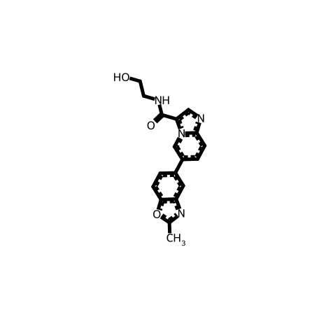 Cc1nc2cc(-c3ccc4ncc(C(=O)NCCO)n4c3)ccc2o1